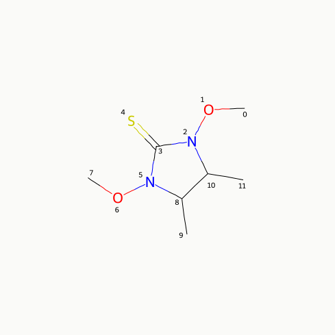 CON1C(=S)N(OC)C(C)C1C